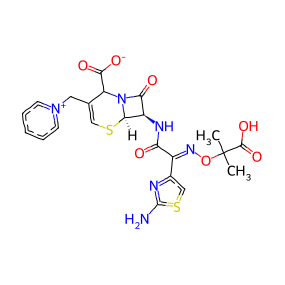 CC(C)(ON=C(C(=O)N[C@@H]1C(=O)N2C(C(=O)[O-])C(C[n+]3ccccc3)=CS[C@H]12)c1csc(N)n1)C(=O)O